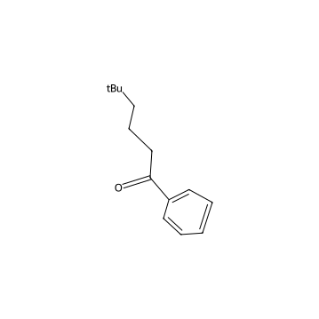 CC(C)(C)CCCC(=O)c1ccccc1